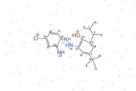 CC(C)C(C)c1cc(C(C)(C)C)cc(N/N=C2/C=CC(Cl)=CC2=N)c1O